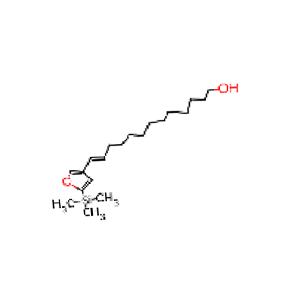 C[Si](C)(C)c1cc(/C=C/CCCCCCCCCCCO)co1